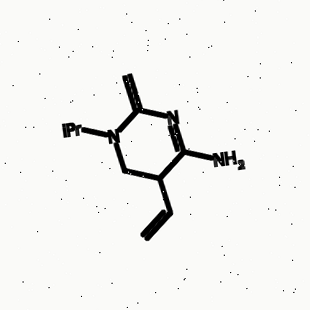 C=CC1CN(C(C)C)C(=C)N=C1N